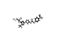 CC(C)(C)n1nc([C@H]2CC[C@@H](OC(=O)Oc3ccc([N+](=O)[O-])cc3)C2)cc1OC(N)=O